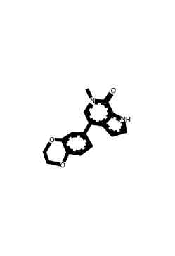 Cn1cc(-c2ccc3c(c2)OCCO3)c2cc[nH]c2c1=O